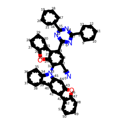 N#Cc1cc(-c2nc(-c3ccccc3)nc(-c3ccccc3)n2)c2c(oc3ccccc32)c1-n1c2ccccc2c2cc3c(cc21)oc1ccccc13